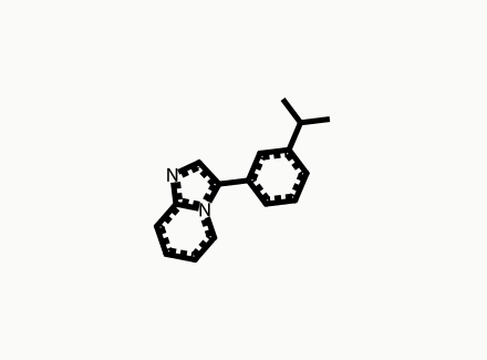 CC(C)c1cccc(-c2cnc3ccccn23)c1